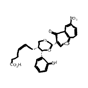 O=C(O)CC/C=C\C[C@@H]1CO[C@H](c2coc3ccc([N+](=O)[O-])cc3c2=O)O[C@@H]1c1ccccc1O